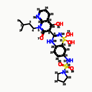 CC(C)CCn1c(=O)c(C2=NS(O)(O)c3cc(NS(=O)(=O)N4CCCC4)ccc3N2)c(O)c2cccnc21